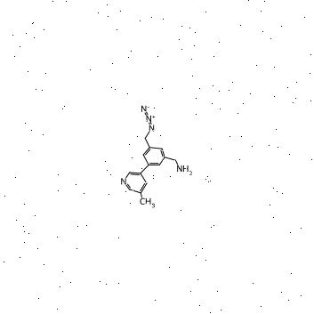 Cc1cncc(-c2cc(CN)cc(CN=[N+]=[N-])c2)c1